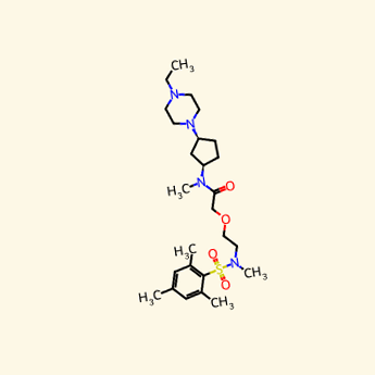 CCN1CCN([C@H]2CC[C@@H](N(C)C(=O)COCCN(C)S(=O)(=O)c3c(C)cc(C)cc3C)C2)CC1